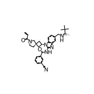 C=CC(=O)N1CC[C@]2(C1)C[C@H](n1c(NC(=O)c3cccc(C#N)c3)nc3cc(CN[C@@H](C)C(C)(C)C)ccc31)C2